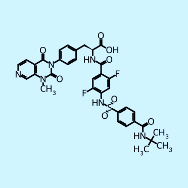 Cn1c(=O)n(-c2ccc(C[C@H](NC(=O)c3cc(F)c(NS(=O)(=O)c4ccc(C(=O)NC(C)(C)C)cc4)cc3F)C(=O)O)cc2)c(=O)c2ccncc21